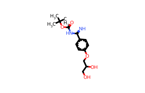 CC(C)(C)OC(=O)NC(=N)c1ccc(OCC(O)CO)cc1